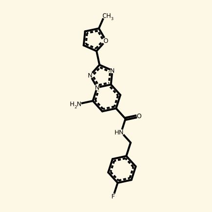 Cc1ccc(-c2nc3cc(C(=O)NCc4ccc(F)cc4)cc(N)n3n2)o1